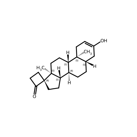 C[C@]12CC=C(O)C[C@@H]1CC[C@@H]1[C@@H]2CC[C@@]2(C)[C@H]1CC[C@@]21CCC1=O